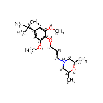 COc1cc(C(C)(C)C)cc(OC)c1OCCCN1CC(C)OC(C)C1